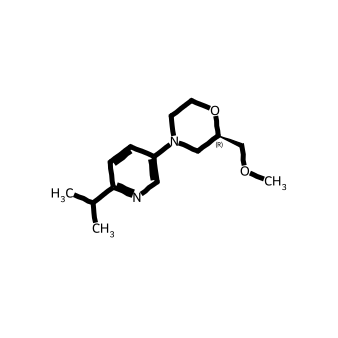 COC[C@H]1CN(c2ccc(C(C)C)nc2)CCO1